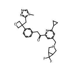 Cn1cnnc1CC1(c2cccc(CC(=O)c3cc(CN4CC5C(C4)C5(F)F)cc(C4CC4)n3)c2)COC1